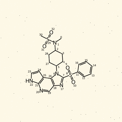 CN(C1CCC(n2c(S(=O)(=O)c3ccccc3)nc3cnc4[nH]ccc4c32)CC1)S(C)(=O)=O